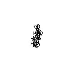 CC[C@H](C)[C@@H]([C@@H](CC(=O)N1CCC[C@H]1[C@H](OC)[C@@H](C)C(=O)NS(=O)(=O)c1ccc(C(=O)OC)cc1)OC)N(C)C(=O)[C@@H](NC(=O)[C@H](C(C)C)N(C)C)C(C)C